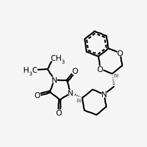 CC(C)N1C(=O)C(=O)N([C@H]2CCCN(C[C@H]3COc4ccccc4O3)C2)C1=O